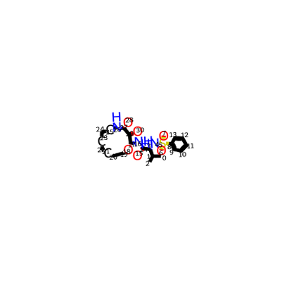 CC(C)C(NS(=O)(=O)c1ccccc1)C(=O)NC1OCCCCCCCNC(=O)C1=O